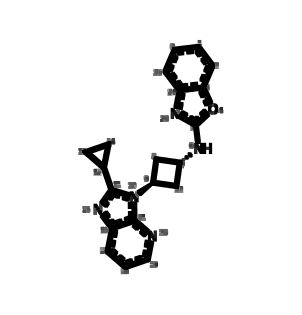 c1ccc2oc(N[C@H]3C[C@H](n4c(C5CC5)nc5cccnc54)C3)nc2c1